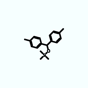 Cc1ccc(C(O[Si](C)(C)C)c2ccc(C)cc2)cc1